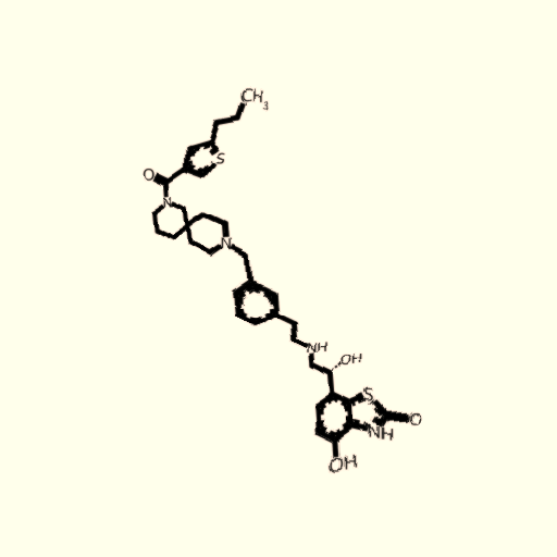 CCCc1cc(C(=O)N2CCCC3(CCN(Cc4cccc(CCNC[C@H](O)c5ccc(O)c6[nH]c(=O)sc56)c4)CC3)C2)cs1